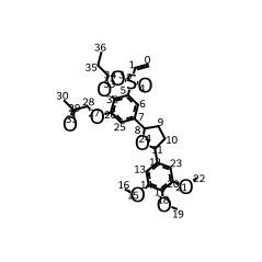 C=CS(=O)(=O)c1cc(C2CCC(c3cc(OC)c(OC)c(OC)c3)O2)cc(OCC(C)=O)c1OCCC